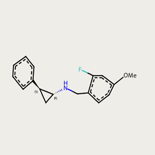 COc1ccc(CN[C@@H]2C[C@H]2c2ccccc2)c(F)c1